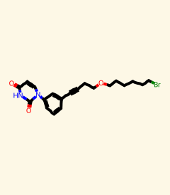 O=c1ccn(-c2cccc(C#CCCOCCCCCCBr)c2)c(=O)[nH]1